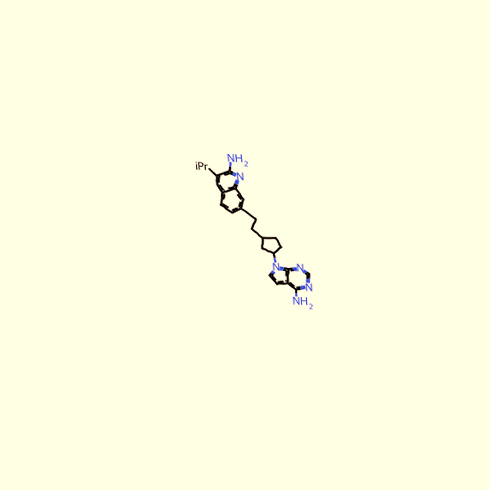 CC(C)c1cc2ccc(CCC3CCC(n4ccc5c(N)ncnc54)C3)cc2nc1N